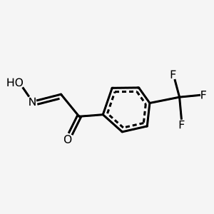 O=C(C=NO)c1ccc(C(F)(F)F)cc1